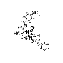 O=C(CSc1ccccc1)NC1C(=O)N2C(C(=O)OCc3ccc([N+](=O)[O-])cc3)=C(O)CS[C@@H]12